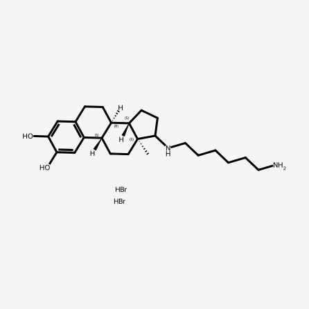 Br.Br.C[C@]12CC[C@@H]3c4cc(O)c(O)cc4CC[C@H]3[C@@H]1CCC2NCCCCCCN